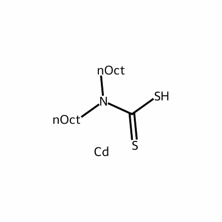 CCCCCCCCN(CCCCCCCC)C(=S)S.[Cd]